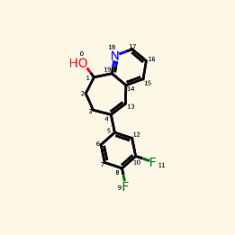 OC1CCC(c2ccc(F)c(F)c2)=Cc2cccnc21